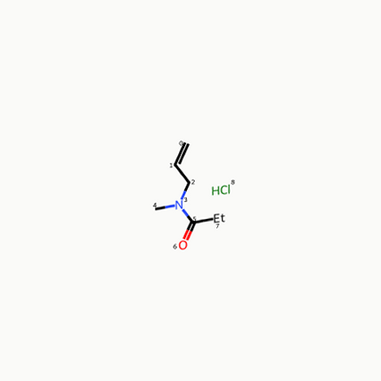 C=CCN(C)C(=O)CC.Cl